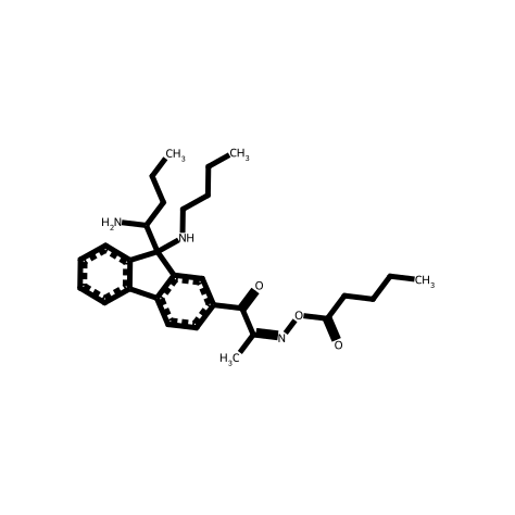 CCCCNC1(C(N)CCC)c2ccccc2-c2ccc(C(=O)/C(C)=N\OC(=O)CCCC)cc21